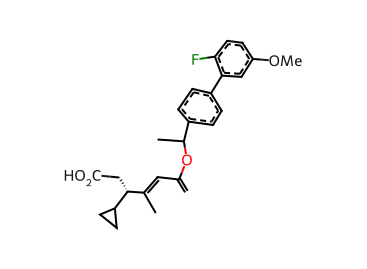 C=C(/C=C(\C)[C@@H](CC(=O)O)C1CC1)OC(C)c1ccc(-c2cc(OC)ccc2F)cc1